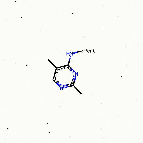 CCCCCNc1nc(C)ncc1C